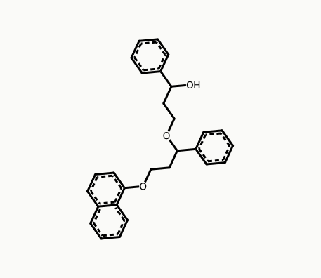 OC(CCOC(CCOc1cccc2ccccc12)c1ccccc1)c1ccccc1